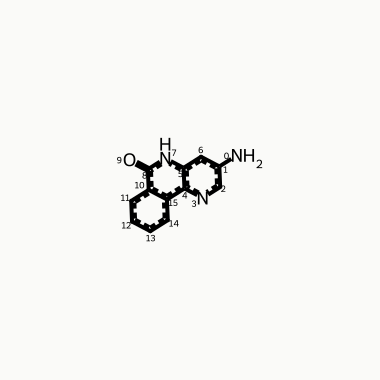 Nc1cnc2c(c1)[nH]c(=O)c1ccccc12